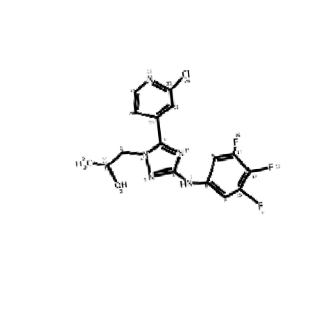 C[C@H](O)Cn1nc(Nc2cc(F)c(F)c(F)c2)nc1-c1ccnc(Cl)c1